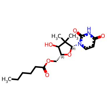 CCCCCC(=O)OC[C@H]1O[C@@H](n2ccc(=O)[nH]c2=O)C(C)(C)C1O